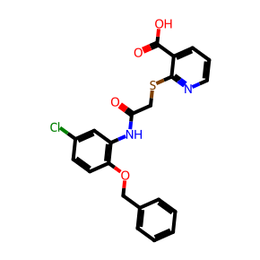 O=C(CSc1ncccc1C(=O)O)Nc1cc(Cl)ccc1OCc1ccccc1